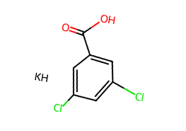 O=C(O)c1cc(Cl)cc(Cl)c1.[KH]